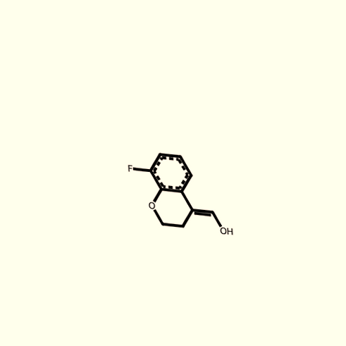 OC=C1CCOc2c(F)cccc21